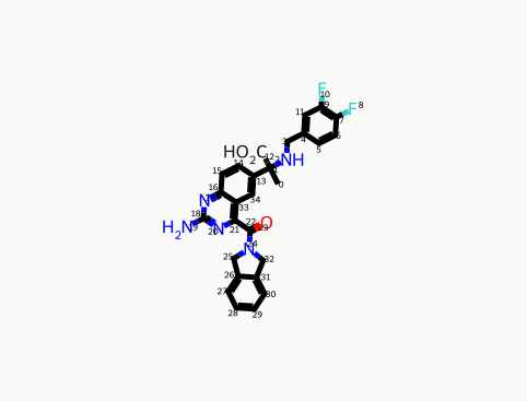 CC(NCc1ccc(F)c(F)c1)(C(=O)O)c1ccc2nc(N)nc(C(=O)N3Cc4ccccc4C3)c2c1